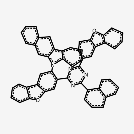 c1ccc2cc3c(cc2c1)c1ccccc1n3-c1cc2c(cc1-c1nc(-c3ccc4oc5ccccc5c4c3)nc(-c3cccc4ccccc34)n1)oc1ccccc12